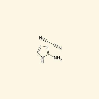 N#CC#N.Nc1ccc[nH]1